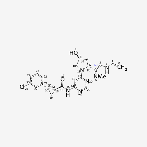 C=CN/C=C(\NC)[C@H]1C[C@H](O)CN1c1cc(NC(=O)[C@H]2C[C@@H]2c2cccc(Cl)c2)ncn1